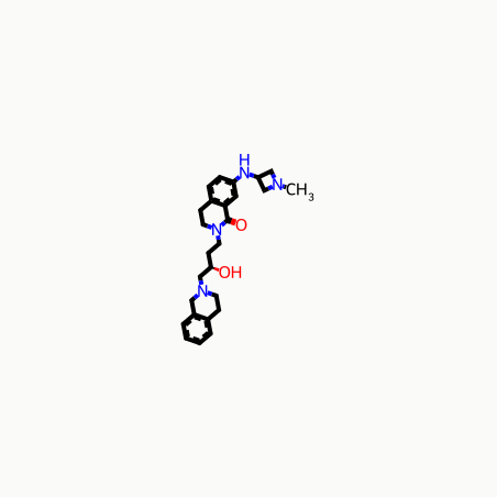 CN1CC(Nc2ccc3c(c2)C(=O)N(CC[C@@H](O)CN2CCc4ccccc4C2)CC3)C1